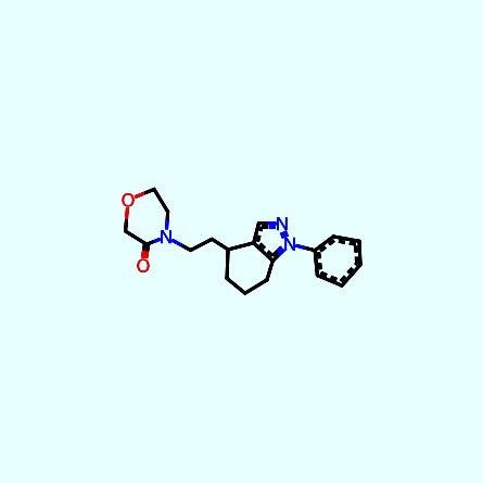 O=C1COCCN1CCC1CCCc2c1cnn2-c1ccccc1